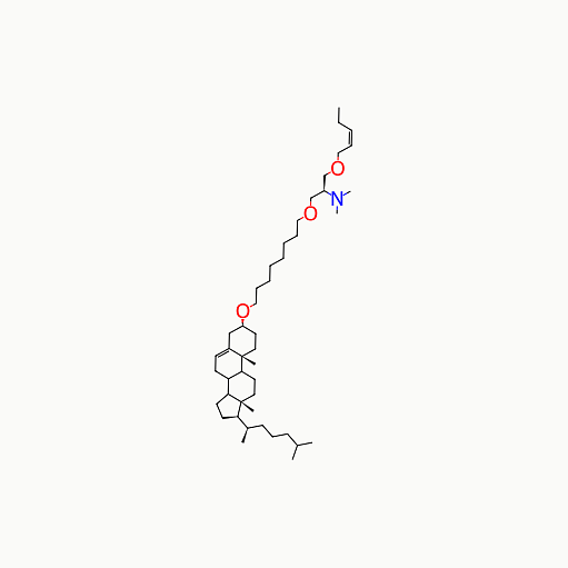 CC/C=C\COC[C@H](COCCCCCCCCO[C@H]1CC[C@@]2(C)C(=CCC3C2CC[C@@]2(C)C3CC[C@@H]2[C@H](C)CCCC(C)C)C1)N(C)C